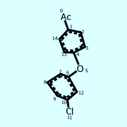 CC(=O)c1ccc(Oc2cccc(Cl)c2)cc1